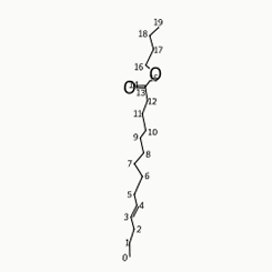 CCC/C=C/CCCCCCCCC(=O)OCCCC